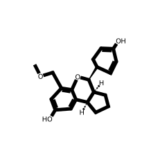 COCc1cc(O)cc2c1O[C@@H](C1C=CC(O)=CC1)[C@H]1CCC[C@@H]21